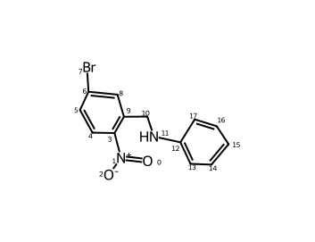 O=[N+]([O-])c1ccc(Br)cc1CNc1ccccc1